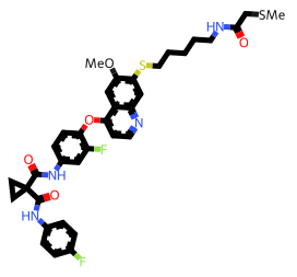 COc1cc2c(Oc3ccc(NC(=O)C4(C(=O)Nc5ccc(F)cc5)CC4)cc3F)ccnc2cc1SCCCCCNC(=O)CSC